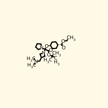 CCOC(=O)[C@H]1CC[C@H](OC(C(=O)OC(C)(C)C)(N2CCCC2)N2CC(CN(C)C)C2)CC1